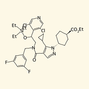 CCOC(=O)[C@H]1CC[C@H](n2ncc(C(=O)N(Cc3cc(F)cc(F)c3)CC(O[Si](CC)(CC)CC)c3c(Cl)cncc3Cl)c2C2CC2)CC1